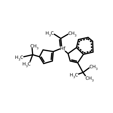 C[C](C)=[Hf]([C]1=CC=C(C(C)(C)C)C1)[CH]1C=C(C(C)(C)C)c2ccccc21